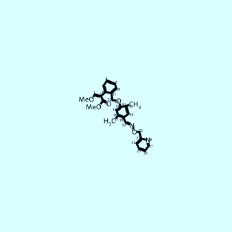 COC=C(C(=O)OC)c1ccccc1COc1cc(C)c(C=NOCc2ccccn2)cc1C